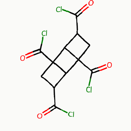 O=C(Cl)C12C3C4(C(=O)Cl)C1C1(C(=O)Cl)C2C3(C(=O)Cl)C41